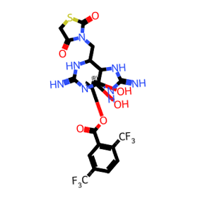 N=C1NC2C(CN3C(=O)CSC3=O)NC(=N)N3CC(OC(=O)c4cc(C(F)(F)F)ccc4C(F)(F)F)C(O)(O)[C@@]23N1